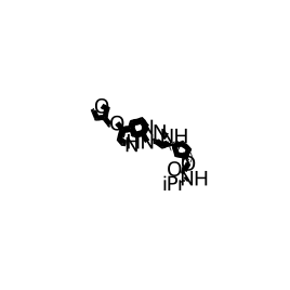 CC(C)NC(=O)O[C@@H]1CC[C@H](c2cc(Nc3nccc4c(OCC5CCOC5)ccnc34)n[nH]2)C1